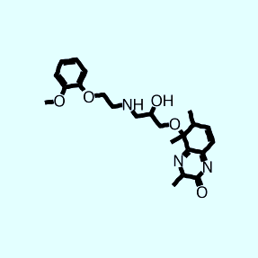 COc1ccccc1OCCNCC(O)COC1(C)C2=NC(C)C(=O)N=C2C=CC1C